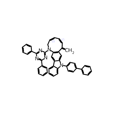 C=C1/C=C\C=C/CN(c2nc(-c3ccccc3)nc(-c3ccccc3)n2)c2cc3c4ccccc4n(-c4ccc(-c5ccccc5)cc4)c3cc21